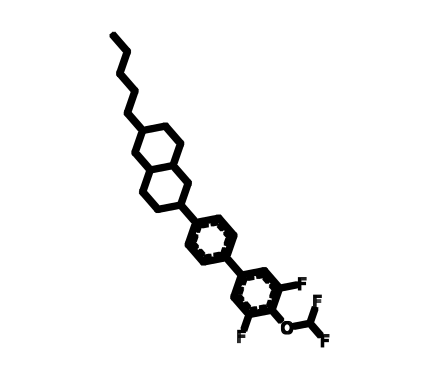 CCCCCC1CCC2CC(c3ccc(-c4cc(F)c(OC(F)F)c(F)c4)cc3)CCC2C1